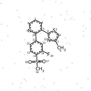 Cc1csc(-c2cccnc2-c2ccc(S(C)(=O)=O)c(F)c2)n1